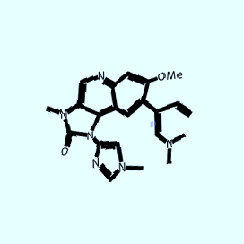 C=C/C(=C\N(C)C)c1cc2c(cc1OC)ncc1c2n(-c2cn(C)cn2)c(=O)n1C